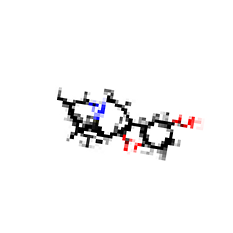 CCC1(C)CC2(C)CC3c4oc5ccc(O)cc5c4CCN(C2)C31